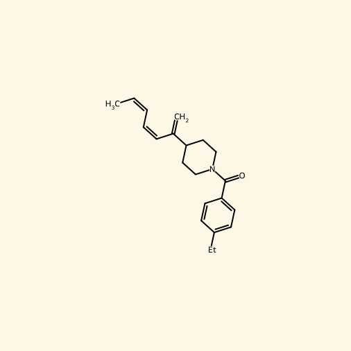 C=C(/C=C\C=C/C)C1CCN(C(=O)c2ccc(CC)cc2)CC1